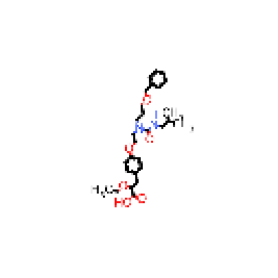 CCOC(Cc1ccc(OCCN(CCCOCc2ccccc2)C(=O)NCC(C)C)cc1)C(=O)O